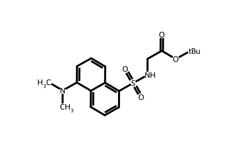 CN(C)c1cccc2c(S(=O)(=O)NCC(=O)OC(C)(C)C)cccc12